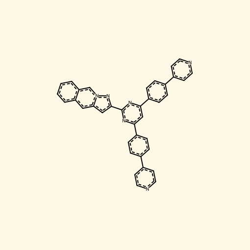 c1ccc2cn3nc(-c4nc(-c5ccc(-c6ccncc6)cc5)cc(-c5ccc(-c6ccncc6)cc5)n4)cc3cc2c1